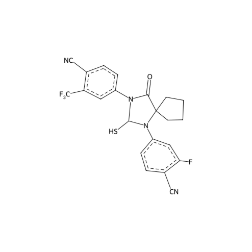 N#Cc1ccc(N2C(S)N(c3ccc(C#N)c(C(F)(F)F)c3)C(=O)C23CCCC3)cc1F